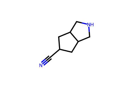 N#CC1CC2CNCC2C1